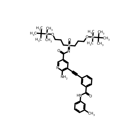 Cc1cccc(NC(=O)c2cccc(C#Cc3cc(C(=O)N=S(=O)(CCCO[Si](C)(C)C(C)(C)C)CCCO[Si](C)(C)C(C)(C)C)cnc3N)c2)c1